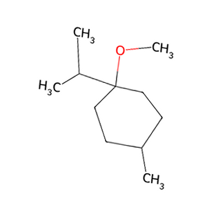 COC1(C(C)C)CCC(C)CC1